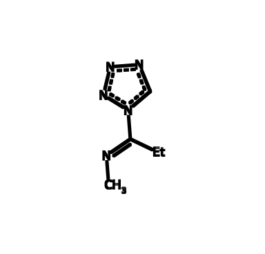 CC/C(=N\C)n1cnnn1